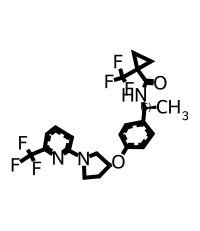 C[C@H](NC(=O)C1(C(F)(F)F)CC1)c1ccc(OC2CCN(c3cccc(C(F)(F)F)n3)C2)cc1